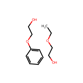 CCOCCO.OCCOc1ccccc1